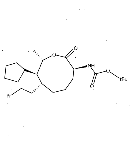 CC(C)CC[C@H]1CCC[C@H](NC(=O)OC(C)(C)C)C(=O)O[C@@H](C)[C@@H]1C1CCCC1